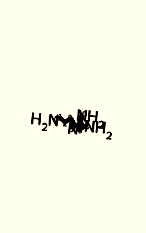 NCCCn1ncc(N)c1N